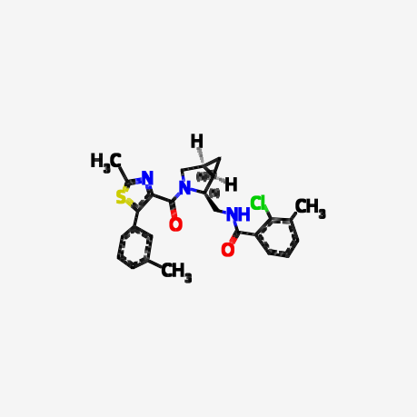 Cc1cccc(-c2sc(C)nc2C(=O)N2C[C@H]3C[C@H]3[C@H]2CNC(=O)c2cccc(C)c2Cl)c1